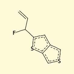 C=CC(F)c1cc2cscc2s1